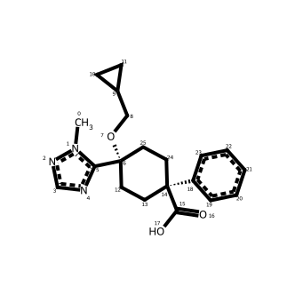 Cn1ncnc1[C@]1(OCC2CC2)CC[C@@](C(=O)O)(c2ccccc2)CC1